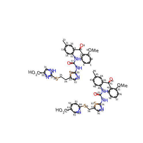 COc1ccccc1C(=O)c1cc(C)ccc1NC(=O)Nc1ncc(CCSc2nc(C(=O)O)c[nH]2)s1.COc1ccccc1C(=O)c1cc(C)ccc1NC(=O)Nc1ncc(CSc2ccc(C(=O)O)cn2)s1